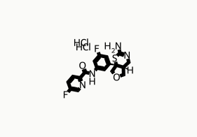 Cl.Cl.NC1=NC[C@H]2COC[C@]2(c2cc(F)cc(NC(=O)c3ccc(F)cn3)c2)S1